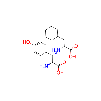 NC(CC1CCCCC1)C(=O)O.N[C@@H](Cc1ccc(O)cc1)C(=O)O